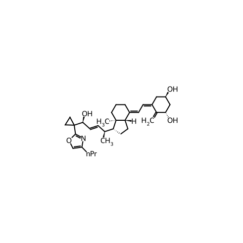 C=C1/C(=C\C=C2/CCC[C@]3(C)[C@@H]([C@@H](C)/C=C/[C@H](O)C4(c5nc(CCC)co5)CC4)CC[C@@H]23)C[C@@H](O)C[C@@H]1O